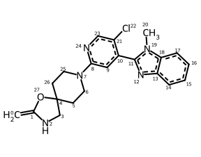 C=C1NCC2(CCN(c3cc(-c4nc5ccccc5n4C)c(Cl)cn3)CC2)O1